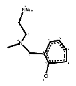 CNCCN(C)Cc1ccccc1Cl